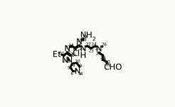 CCc1nn(C2CCN(C)CC2)cc1\N=C/C(Cl)=C(\N=C\N)NCCCN(C)CCCCC=O